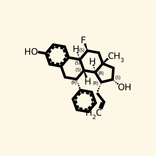 C=CC[C@@H]1[C@H]2[C@H]3[C@@H](c4ccc(O)cc4C[C@H]3c3ccccc3)[C@@H](F)C[C@]2(C)C[C@@H]1O